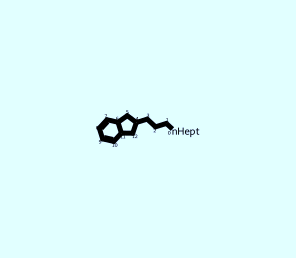 CCCCCCCCCCC1[C]C2C=CC=CC2C1